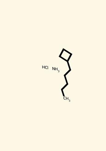 CCCCCC1CCC1.Cl.N